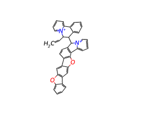 C=CC1C(C2c3ccc4c(oc5cc6c(cc54)oc4ccccc46)c3-c3cccc[n+]32)c2ccccc2-c2cccc[n+]21